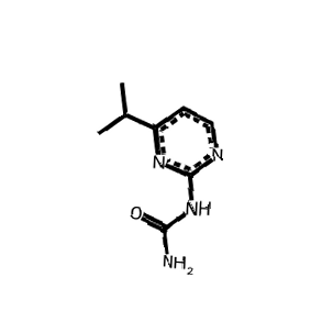 CC(C)c1ccnc(NC(N)=O)n1